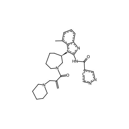 C=C(CN1CCCCC1)C(=O)N1CCCC[C@@H](n2c(NC(=O)c3ccnnc3)nc3cccc(C)c32)C1